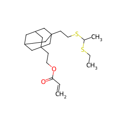 C=CC(=O)OCCC12CC3CC(C1)CC(CCSC(C)SCC)(C3)C2